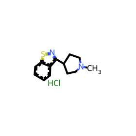 CN1CCC(c2nsc3ccccc23)CC1.Cl